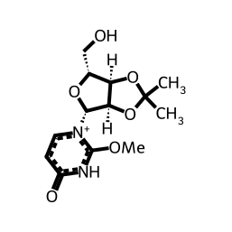 COc1[nH]c(=O)cc[n+]1[C@@H]1O[C@H](CO)[C@H]2OC(C)(C)O[C@H]21